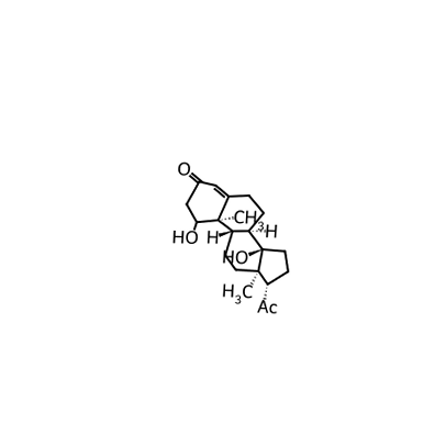 CC(=O)[C@H]1CC[C@@]2(O)[C@@H]3CCC4=CC(=O)CC(O)[C@]4(C)[C@H]3CC[C@]12C